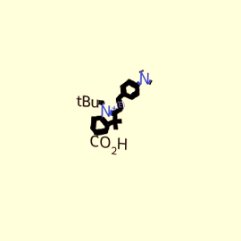 CN(C)c1ccc(/C=C/C2=[N+](CC(C)(C)C)c3ccc(C(=O)O)cc3C2(C)C)cc1